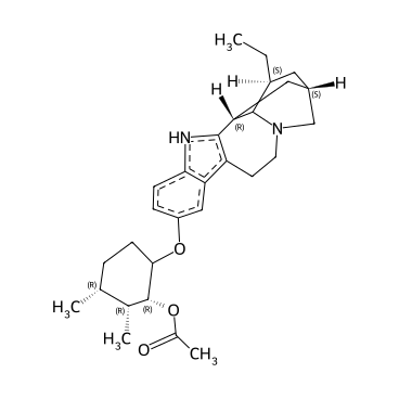 CC[C@H]1C[C@H]2C[C@H]3c4[nH]c5ccc(OC6CC[C@@H](C)[C@@H](C)[C@H]6OC(C)=O)cc5c4CCN(C2)C13